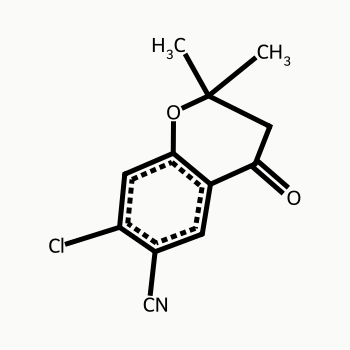 CC1(C)CC(=O)c2cc(C#N)c(Cl)cc2O1